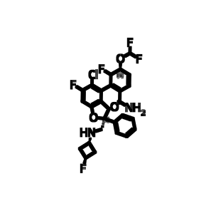 NC(=O)C1=C(c2c(Cl)c(F)cc3c2C[C@@](CN[C@H]2C[C@H](F)C2)(c2ccccc2)O3)C(F)[C@@H](OC(F)F)C=C1